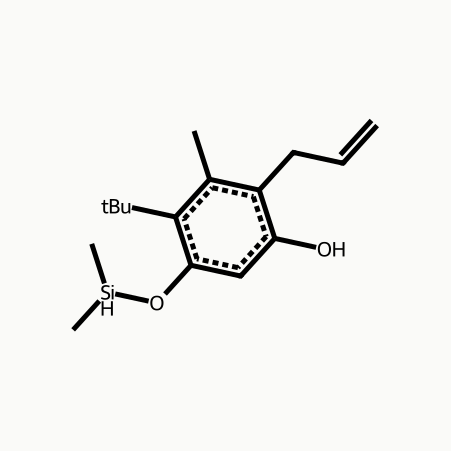 C=CCc1c(O)cc(O[SiH](C)C)c(C(C)(C)C)c1C